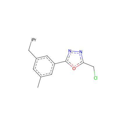 Cc1cc(CC(C)C)cc(-c2nnc(CCl)o2)c1